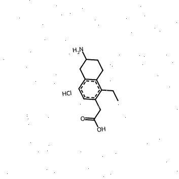 CCc1c(CC(=O)O)ccc2c1CCC(N)C2.Cl